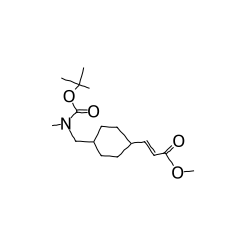 COC(=O)/C=C/C1CCC(CN(C)C(=O)OC(C)(C)C)CC1